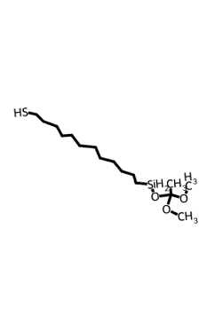 COC(C)(OC)O[SiH2]CCCCCCCCCCCCS